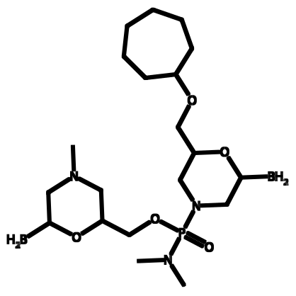 BC1CN(C)CC(COP(=O)(N(C)C)N2CC(B)OC(COC3CCCCCC3)C2)O1